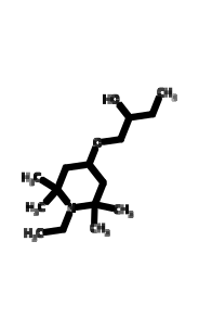 CCC(O)COC1CC(C)(C)N(CC)C(C)(C)C1